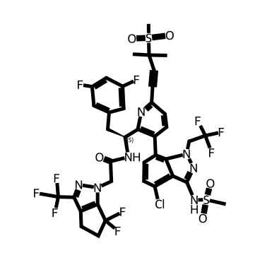 CC(C)(C#Cc1ccc(-c2ccc(Cl)c3c(NS(C)(=O)=O)nn(CC(F)(F)F)c23)c([C@H](Cc2cc(F)cc(F)c2)NC(=O)Cn2nc(C(F)(F)F)c3c2C(F)(F)CC3)n1)S(C)(=O)=O